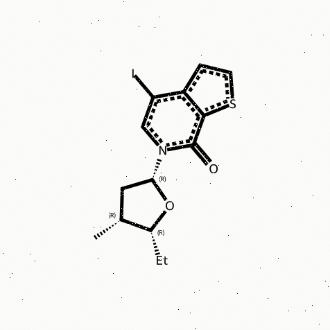 CC[C@H]1O[C@@H](n2cc(I)c3ccsc3c2=O)C[C@H]1C